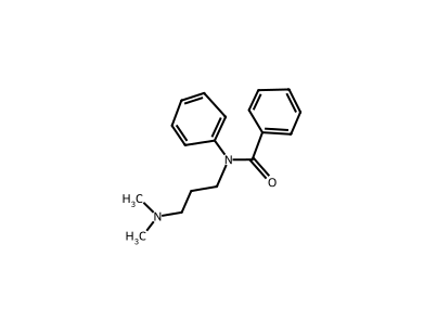 CN(C)CCCN(C(=O)c1ccccc1)c1ccccc1